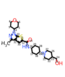 Cc1nn(C2CCOCC2)c2sc(C(=O)N[C@H]3CC[C@@H](N4CCC(CO)CC4)CC3)cc12